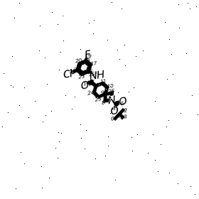 CC(C)(C)OC(=O)N1CC2(CCC(C(=O)Nc3cc(F)cc(Cl)c3)CC2)C1